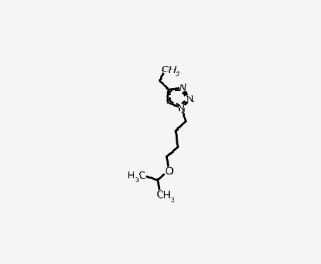 CCc1cn(CCCCOC(C)C)nn1